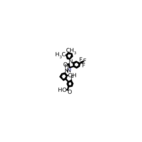 Cc1ccc(N2C(=O)/C(=N\Nc3cccc(-c4cc(C(=O)O)ccc4F)c3O)c3ccc(C(F)(F)F)cc32)cc1C